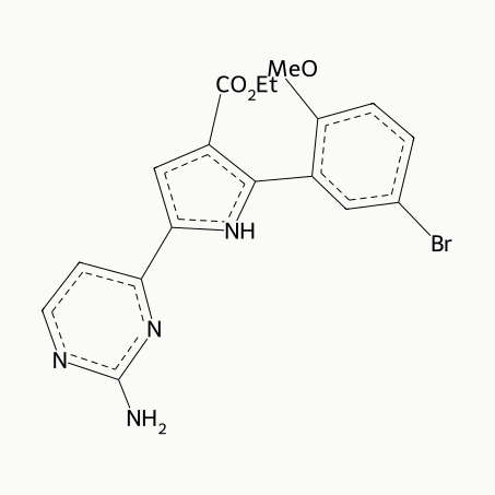 CCOC(=O)c1cc(-c2ccnc(N)n2)[nH]c1-c1cc(Br)ccc1OC